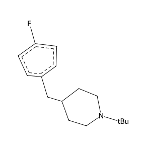 CC(C)(C)N1CCC(Cc2ccc(F)cc2)CC1